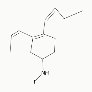 C/C=C\C1=C(/C=C\CC)CCC(NI)C1